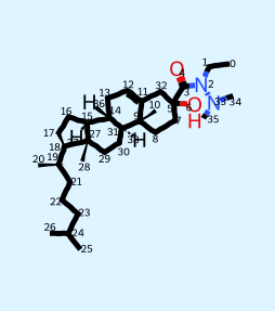 CCN(C(=O)C1(O)CC[C@@]2(C)C(=CC[C@H]3[C@@H]4CC[C@H]([C@H](C)CCCC(C)C)[C@@]4(C)CC[C@@H]32)C1)N(C)C